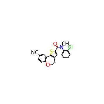 CN(C(=O)c1cc2c(s1)-c1cc(C#N)ccc1OCC2)c1ccccc1Cl